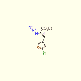 CCOC(=O)/C(=C/c1csc(Cl)c1)N=[N+]=[N-]